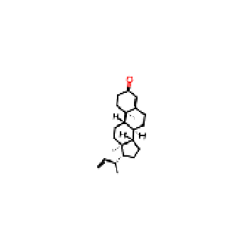 C=CC(C)[C@H]1CC[C@H]2[C@@H]3CCC4=CC(=O)CC[C@]4(C)[C@H]3CC[C@]12C